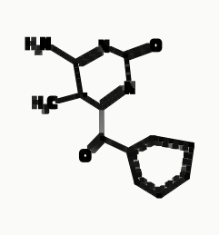 C[C]1C(N)=NC(=O)N=C1C(=O)c1ccccc1